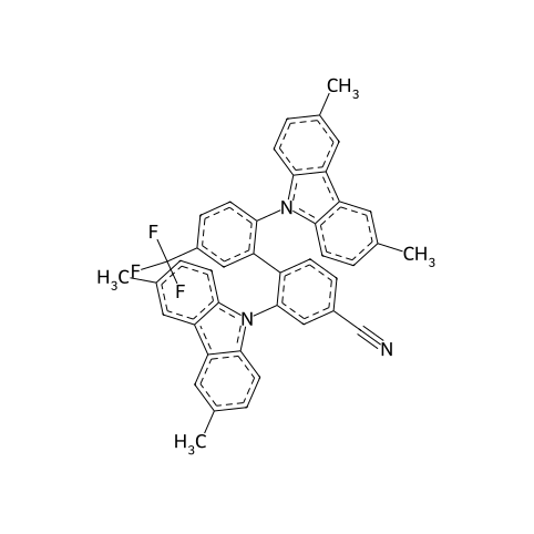 Cc1ccc2c(c1)c1cc(C)ccc1n2-c1ccc(C(F)(F)F)cc1-c1ccc(C#N)cc1-n1c2ccc(C)cc2c2cc(C)ccc21